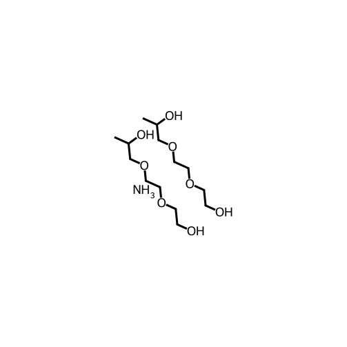 CC(O)COCCOCCO.CC(O)COCCOCCO.N